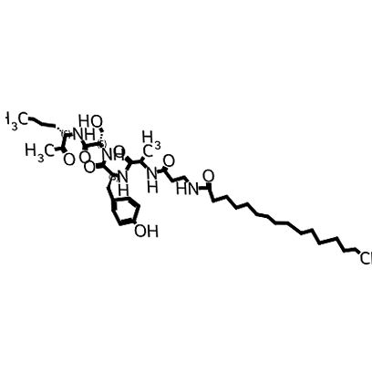 CCCCCCCCCCCCCCCC(=O)NCCC(=O)NC(C)C(=O)N[C@@H](Cc1ccc(O)cc1)C(=O)N[C@@H](CO)C(=O)N[C@@H](CCCC)C(C)=O